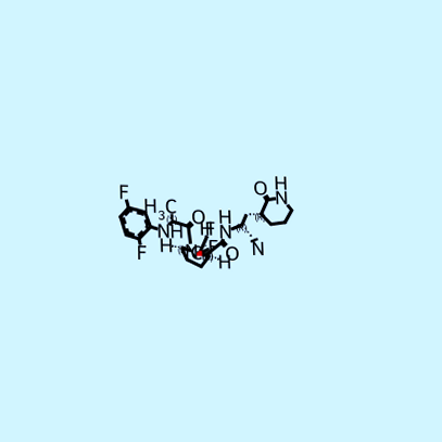 C[C@H](Nc1cc(F)ccc1F)C(=O)N1[C@@H]2CC[C@H]([C@@H]1C(=O)N[C@@H](C#N)C[C@H]1CCCNC1=O)C(F)(F)C2